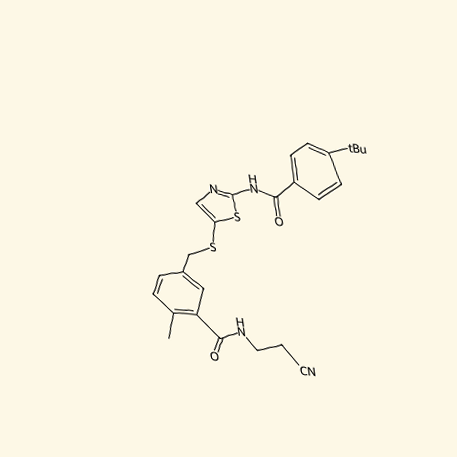 Cc1ccc(CSc2cnc(NC(=O)c3ccc(C(C)(C)C)cc3)s2)cc1C(=O)NCCC#N